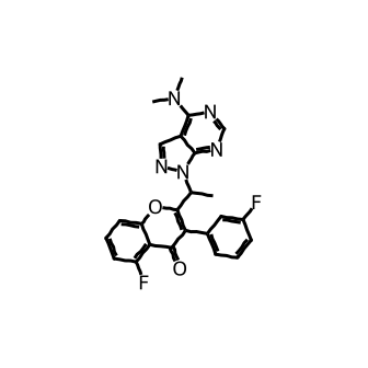 CC(c1oc2cccc(F)c2c(=O)c1-c1cccc(F)c1)n1ncc2c(N(C)C)ncnc21